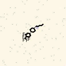 CCC/C=C/[C@H]1CC[C@H](c2cc(F)c(C(F)(F)F)c(F)c2)CC1